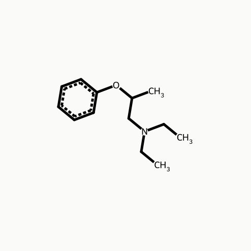 CCN(CC)CC(C)Oc1ccccc1